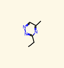 CCc1nncc(C)n1